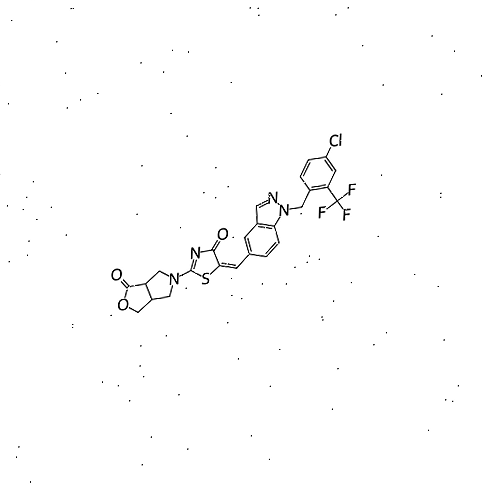 O=C1N=C(N2CC3COC(=O)C3C2)SC1=Cc1ccc2c(cnn2Cc2ccc(Cl)cc2C(F)(F)F)c1